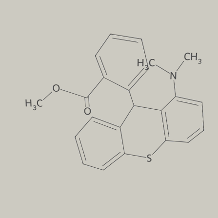 COC(=O)c1ccccc1C1c2ccccc2Sc2cccc(N(C)C)c21